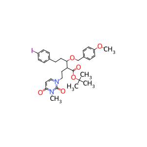 COc1ccc(COC(CCc2ccc(I)cc2)C(CCn2ccc(=O)n(C)c2=O)C(=O)OC(C)(C)C)cc1